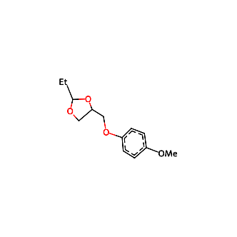 CCC1OCC(COc2ccc(OC)cc2)O1